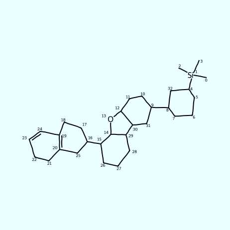 C[Si](C)(C)C1CCCC(C2CCC3OC4C(C5CCC6=C(CCC=C6)C5)CCCC4C3C2)C1